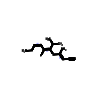 CC/C=C\C(F)=C(\S/C(N)=C/C#N)C(C)C